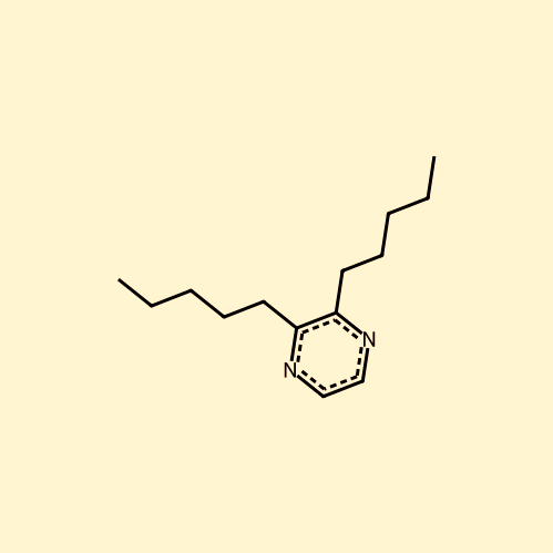 CCCCCc1nccnc1CCCCC